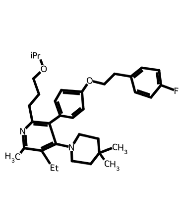 CCc1c(C)nc(CCCOC(C)C)c(-c2ccc(OCCc3ccc(F)cc3)cc2)c1N1CCC(C)(C)CC1